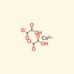 O=C([O-])C(=O)O.O=C([O-])C(=O)O.[Co+2]